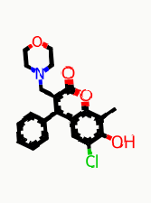 Cc1c(O)c(Cl)cc2c(-c3ccccc3)c(CN3CCOCC3)c(=O)oc12